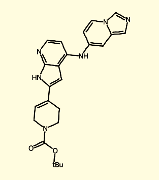 CC(C)(C)OC(=O)N1CC=C(c2cc3c(Nc4ccn5cncc5c4)ccnc3[nH]2)CC1